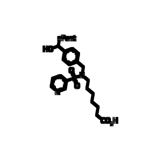 CCCCCC(O)c1ccc(CN(CCCCCCC(=O)O)S(=O)(=O)c2cccnc2)cc1